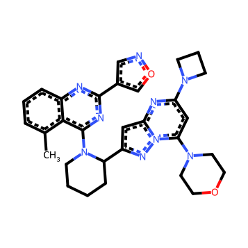 Cc1cccc2nc(-c3cnoc3)nc(N3CCCCC3c3cc4nc(N5CCC5)cc(N5CCOCC5)n4n3)c12